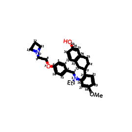 CCN(Cc1ccc(OCCN2CCC2)cc1)c1cc(OC)ccc1C1CCc2cc(O)ccc2C1